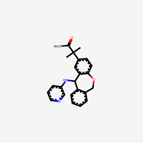 COC(=O)C(C)(C)c1ccc2c(c1)C(Nc1cccnc1)c1ccccc1CO2